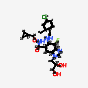 Cc1cc(Cl)ccc1CNc1c(C(=O)NOCC2CC2)cc2c(ncn2CC(O)CO)c1F